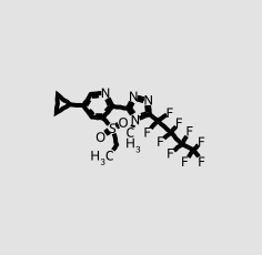 CCS(=O)(=O)c1cc(C2CC2)cnc1-c1nnc(C(F)(F)C(F)(F)C(F)(F)C(F)(F)F)n1C